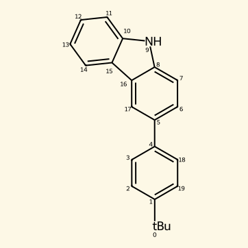 CC(C)(C)c1ccc(-c2ccc3[nH]c4ccccc4c3c2)cc1